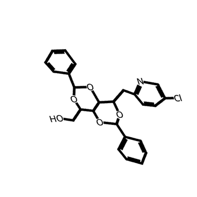 OCC1OC(c2ccccc2)OC2C(Cc3ccc(Cl)cn3)OC(c3ccccc3)OC12